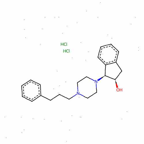 Cl.Cl.O[C@@H]1Cc2ccccc2[C@@H]1N1CCN(CCCc2ccccc2)CC1